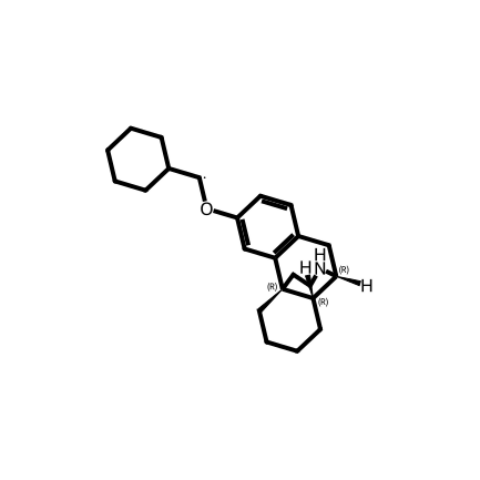 [CH](Oc1ccc2c(c1)[C@@]13CCCC[C@H]1[C@@H](C2)NCC3)C1CCCCC1